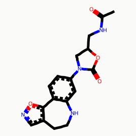 CC(=O)NCC1CN(c2ccc3c(c2)NCCc2cnoc2-3)C(=O)O1